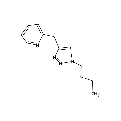 [CH2]CCCn1cc(Cc2ccccn2)nn1